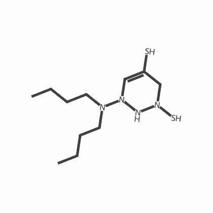 CCCCN(CCCC)N1C=C(S)CN(S)N1